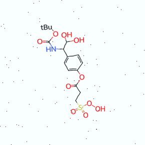 CC(C)(C)OC(=O)NC(c1ccc(OC(=O)CCS(=O)(=O)OO)cc1)C(O)O